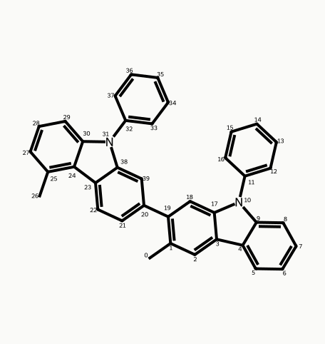 Cc1cc2c3ccccc3n(-c3ccccc3)c2cc1-c1ccc2c3c(C)cccc3n(-c3ccccc3)c2c1